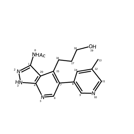 CC(=O)Nc1n[nH]c2ncc(-c3cncc(C)c3)c(CCCO)c12